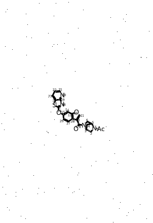 CC(=O)N1CC2CC1CN2C(=O)c1coc2cc(Oc3nc4ncccc4s3)ccc12